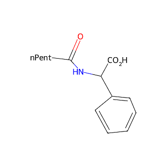 CCCCCC(=O)NC(C(=O)O)c1ccccc1